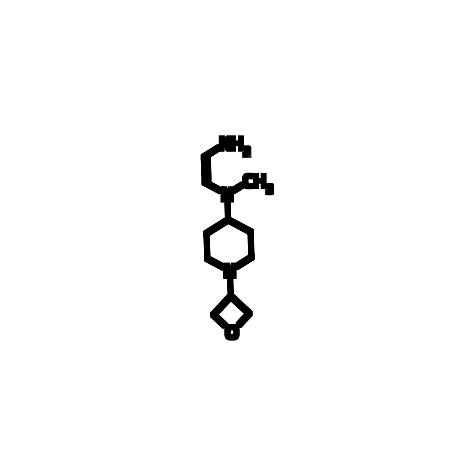 CN(/C=C\N)C1CCN(C2COC2)CC1